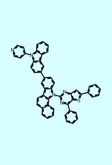 c1ccc(-c2cc3nc(-n4c5ccc(-c6ccc7c(c6)c6ccccc6n7-c6ccncc6)cc5c5ccc6ccccc6c54)nc(-c4ccccc4)c3s2)cc1